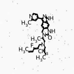 C/C=C\C(F)=C(/C)CN(CCCC)C[C@@H](C)N1Cc2cc3c(-c4ccnc(C)c4)n[nH]c3cc2NC1=O